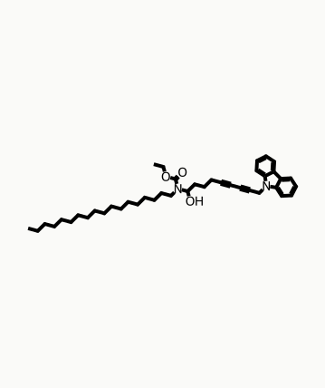 CCCCCCCCCCCCCCCCCCN(C(=O)OCC)C(O)CCCC#CC#CCn1c2ccccc2c2ccccc21